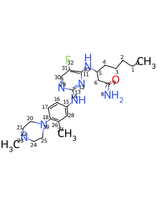 CCCCCC(CC(N)=O)Nc1nc(Nc2ccc(N3CCN(C)CC3)c(C)c2)ncc1F